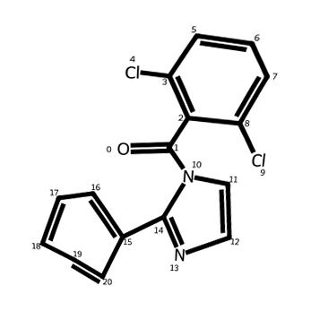 O=C(c1c(Cl)cccc1Cl)n1ccnc1-c1ccccc1